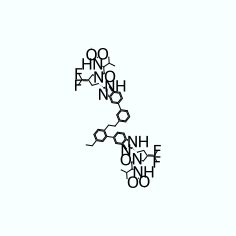 CCc1ccc(CCc2cccc(-c3ccc4[nH]c([C@@H]5CC(=C(F)F)CN5C(=O)[C@@H](NC(=O)OC)C(C)C)nc4c3)c2)c(-c2ccc3[nH]c([C@@H]4CC(=C(F)F)CN4C(=O)[C@@H](NC(=O)OC)C(C)C)nc3c2)c1